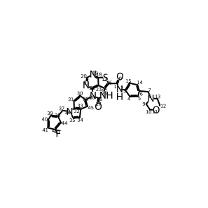 O=C(Nc1ccc(CN2CCOCC2)cc1)c1sc2ncnc3c2c1NC(=O)N3c1ccc2c(ccn2Cc2cccc(F)c2)c1